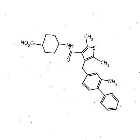 Cc1sc(C)c(C(=O)NC2CCC(C(=O)O)CC2)c1Cc1ccc(-c2ccccc2)c(N)c1